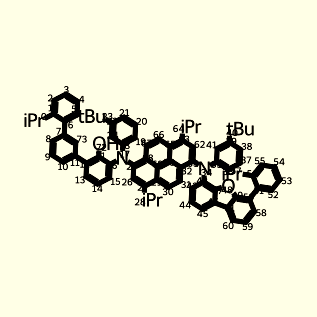 CC(C)c1ccccc1-c1cccc(-c2cccc(N(c3cccc(C(C)(C)C)c3)c3cc(C(C)C)c4ccc5c(N(c6cccc(C(C)(C)C)c6)c6cccc7c6oc6c(-c8ccccc8C(C)C)cccc67)cc(C(C)C)c6ccc3c4c65)c2O)c1